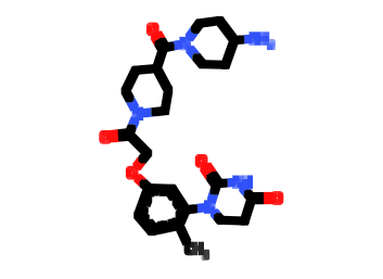 Cc1ccc(OCC(=O)N2CCC(C(=O)N3CCC(N)CC3)CC2)cc1N1CCC(=O)NC1=O